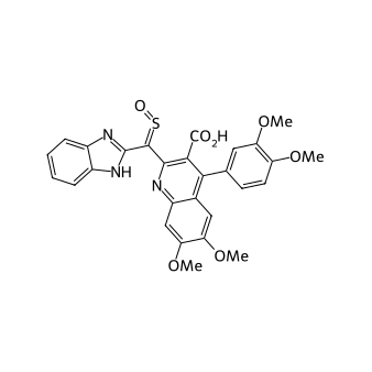 COc1ccc(-c2c(C(=O)O)c(C(=S=O)c3nc4ccccc4[nH]3)nc3cc(OC)c(OC)cc23)cc1OC